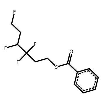 O=C(SCCC(F)(F)C(F)CCF)c1ccccc1